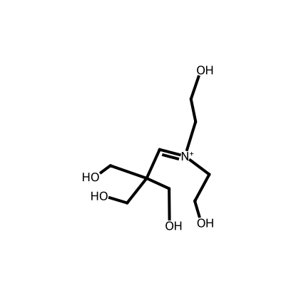 OCC[N+](=CC(CO)(CO)CO)CCO